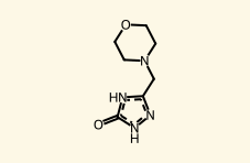 O=c1[nH]nc(CN2CCOCC2)[nH]1